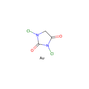 O=C1CN(Cl)C(=O)N1Cl.[Au]